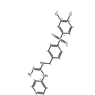 N#CN=C(NCc1ccc(S(=O)(=O)c2ccc(Cl)c(Cl)c2)cc1)Nc1ccncc1